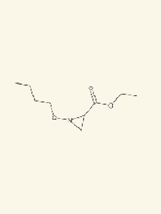 CCCCON1CC1C(=O)OCC